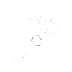 CC1(C)CN(c2ccc(OCCO)c(Cl)c2F)[C@H]2CCCC[C@H]2N1